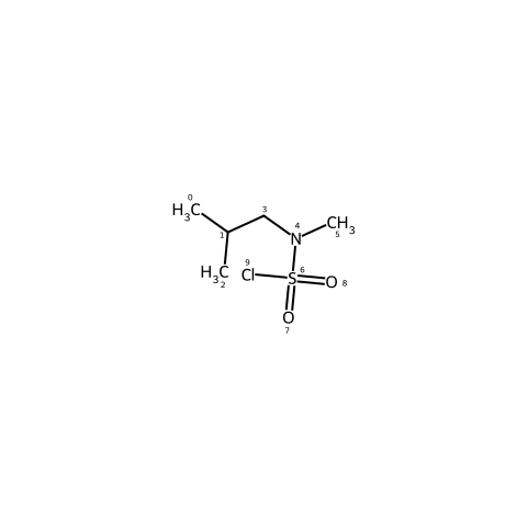 CC(C)CN(C)S(=O)(=O)Cl